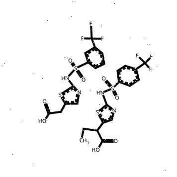 CCC(C(=O)O)c1cnc(NS(=O)(=O)c2ccc(C(F)(F)F)cc2)s1.O=C(O)Cc1cnc(NS(=O)(=O)c2cccc(C(F)(F)F)c2)s1